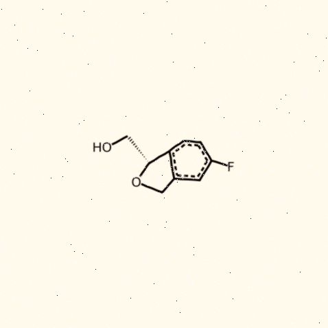 OC[C@H]1OCc2cc(F)ccc21